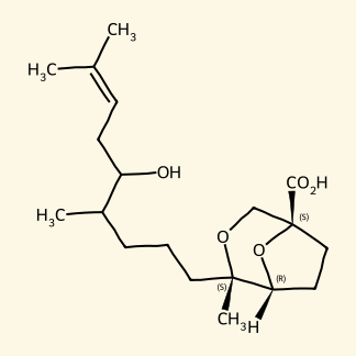 CC(C)=CCC(O)C(C)CCC[C@]1(C)OC[C@]2(C(=O)O)CC[C@H]1O2